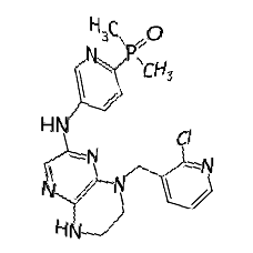 CP(C)(=O)c1ccc(Nc2cnc3c(n2)N(Cc2cccnc2Cl)CCN3)cn1